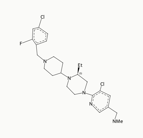 CC[C@H]1CN(c2ncc(CNC)cc2Cl)CCN1C1CCN(Cc2ccc(Cl)cc2F)CC1